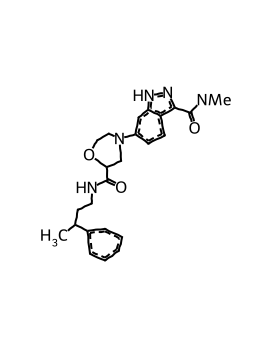 CNC(=O)c1n[nH]c2cc(N3CCOC(C(=O)NCCC(C)c4ccccc4)C3)ccc12